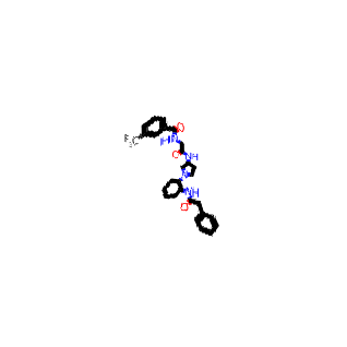 O=C(CNC(=O)c1cccc(C(F)(F)F)c1)NC1CCN(C2CCCCC2NC(=O)Cc2ccccc2)C1